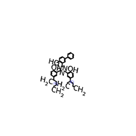 C=C/C=C\C(=C)c1ccc(O)c(-c2nc(-c3cc(/C(C=C)=C/C=C)ccc3O)nc(-c3cc(-c4ccccc4)ccc3O)n2)c1